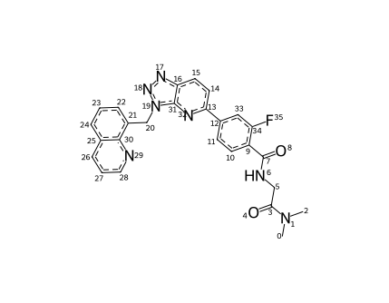 CN(C)C(=O)CNC(=O)c1ccc(-c2ccc3nnn(Cc4cccc5cccnc45)c3n2)cc1F